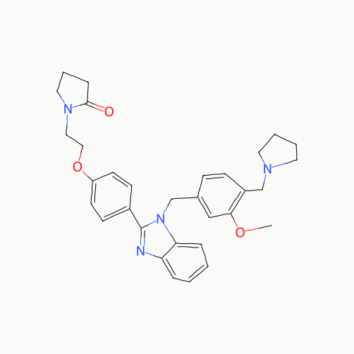 COc1cc(Cn2c(-c3ccc(OCCN4CCCC4=O)cc3)nc3ccccc32)ccc1CN1CCCC1